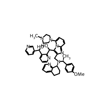 COc1ccc([C@H](C)N(Cc2nc3cccc(N4CCN(C)CC4)n3c2C(O)c2ncccc2C(O)c2cccnc2)[C@H]2CCCc3cccnc32)cc1